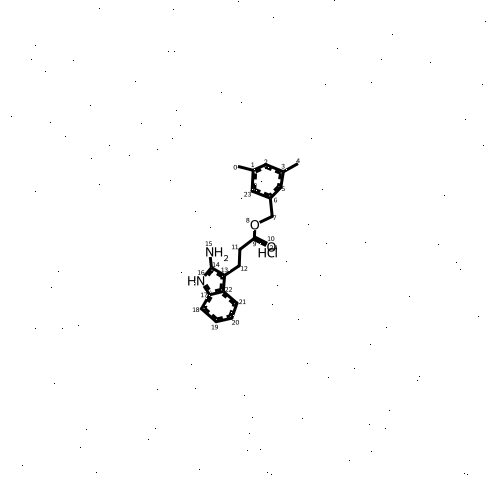 Cc1cc(C)cc(COC(=O)CCc2c(N)[nH]c3ccccc23)c1.Cl